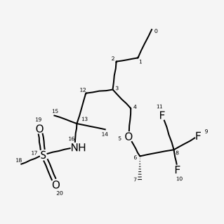 CCCC(CO[C@@H](C)C(F)(F)F)CC(C)(C)NS(C)(=O)=O